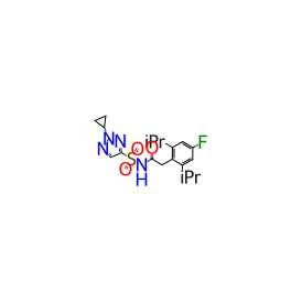 CC(C)c1cc(F)cc(C(C)C)c1CC(=O)NS(=O)(=O)c1cnn(C2CC2)n1